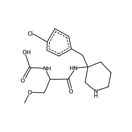 COCC(NC(=O)O)C(=O)NC1(Cc2ccc(Cl)cc2)CCCNC1